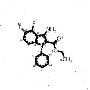 CCOC(=O)c1c(N)c2c(F)c(F)ccc2n1-c1ccccc1